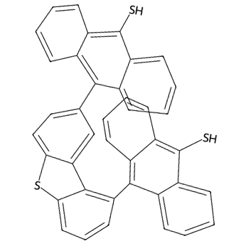 Sc1c2ccccc2c(-c2ccc3sc4cccc(-c5c6ccccc6c(S)c6ccccc56)c4c3c2)c2ccccc12